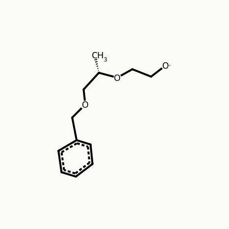 C[C@@H](COCc1ccccc1)OCC[O]